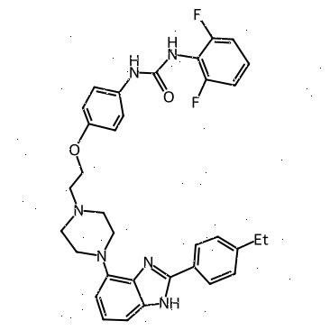 CCc1ccc(-c2nc3c(N4CCN(CCOc5ccc(NC(=O)Nc6c(F)cccc6F)cc5)CC4)cccc3[nH]2)cc1